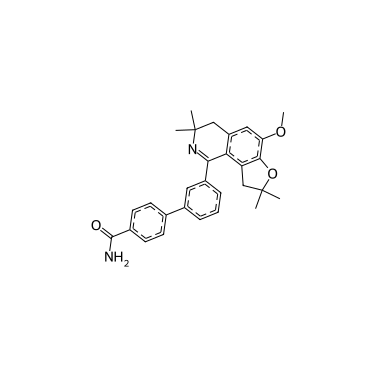 COc1cc2c(c3c1OC(C)(C)C3)C(c1cccc(-c3ccc(C(N)=O)cc3)c1)=NC(C)(C)C2